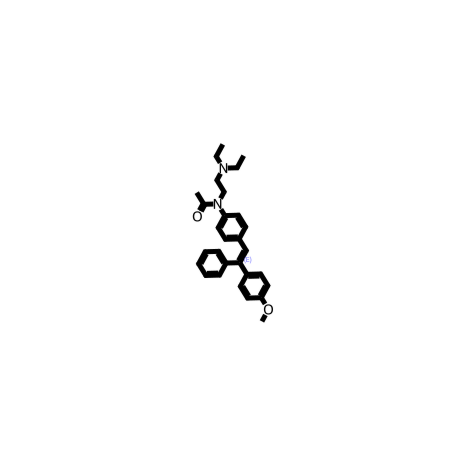 CCN(CC)CCN(C(C)=O)c1ccc(/C=C(\c2ccccc2)c2ccc(OC)cc2)cc1